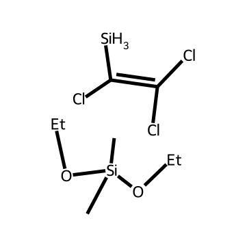 CCO[Si](C)(C)OCC.[SiH3]C(Cl)=C(Cl)Cl